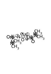 Cc1cc(C)n(Cc2cc(C3=CN(CC(C(=O)C(CN4C=CCC(c5cc(Cn6nc(C)cc6C)n(-c6ccccc6)n5)=C4)c4cccs4)c4cccs4)C=CC3)nn2-c2ccccc2)n1